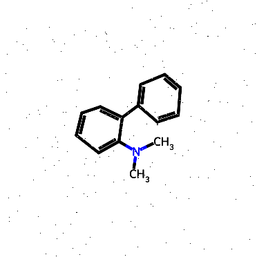 CN(C)c1ccccc1-c1[c]cccc1